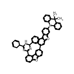 CC1(C)c2ccccc2N(c2ccc3c(c2)oc2cc(-c4ccc5oc6cccc(C7=NC(c8ccccc8)NC(C8C=CC=CC8)=N7)c6c5c4)ccc23)c2ccccc21